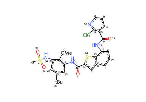 COc1c(NC(=O)c2cc3cccc(NC(=O)c4cccnc4Cl)c3s2)cc(C(C)(C)C)cc1NS(C)(=O)=O